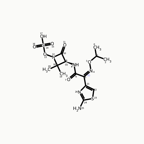 CC(C)O/N=C(\C(=O)N[C@@H]1C(=O)N(OS(=O)(=O)O)C1(C)C)c1csc(N)n1